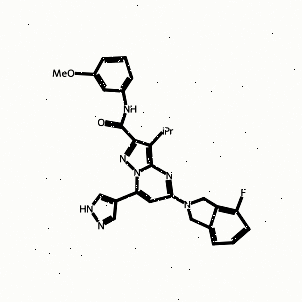 COc1cccc(NC(=O)c2nn3c(-c4cn[nH]c4)cc(N4Cc5cccc(F)c5C4)nc3c2C(C)C)c1